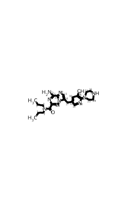 CCCN(CCC)C(=O)c1nc(N)c2ncc(Cc3cnc(N4CCNCC4)c(C)c3)n2n1